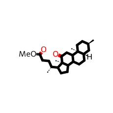 COC(=O)CC[C@@H](C)C1CCC2C3CC[C@@H]4C[C@H](C)CC[C@]4(C)C3CC(=O)[C@@]21C